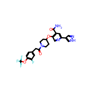 NC(=O)c1cc(-c2cn[nH]c2)ncc1OC1CCN(C(=O)Cc2ccc(OC(F)(F)F)c(F)c2)CC1